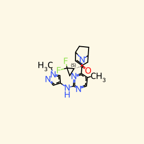 Cc1cnc(Nc2cnn(C)c2)nc1C1=CC2CCC(C1)N2C(=O)[C@@H]1CC1(F)F